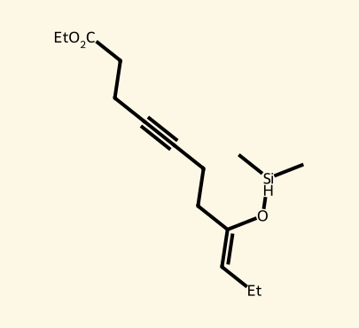 CC/C=C(/CCC#CCCC(=O)OCC)O[SiH](C)C